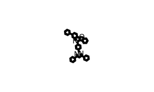 c1ccc(-c2ccc3c(c2)nc(-c2ccc(-c4nc(-c5ccccc5)cc(-c5ccccc5)n4)cc2)c2c4ccccc4oc32)cc1